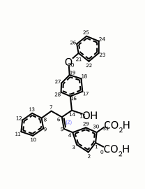 O=C(O)c1ccc(/C=C(/Cc2ccccc2)C(O)c2ccc(Oc3ccccc3)cc2)cc1C(=O)O